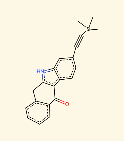 C[Si](C)(C)C#Cc1ccc2c3c([nH]c2c1)Cc1ccccc1C3=O